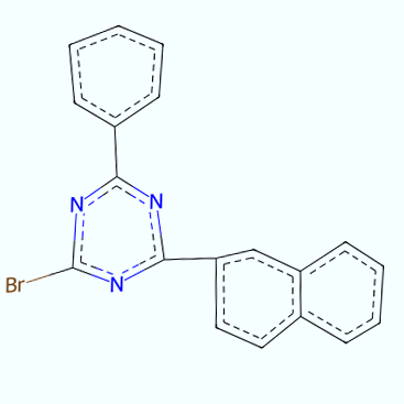 Brc1nc(-c2ccccc2)nc(-c2ccc3ccccc3c2)n1